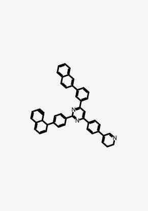 C1#CC2C(=CC=CC2c2ccc(-c3nc(-c4ccc(C5=CCCN=C5)cc4)cc(-c4cccc(-c5ccc6ccccc6c5)c4)n3)cc2)C=C1